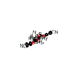 CC(C)(O[Si](C)(C)C(C)(C)O[Si](C)(C)COc1ccc(-c2ccc(C#N)cc2)cc1)[Si](C)(C)COc1ccc(-c2ccc(C#N)cc2)cc1